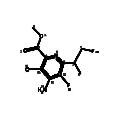 COC(=O)c1nc(C(C)CF)c(F)c(N)c1Cl